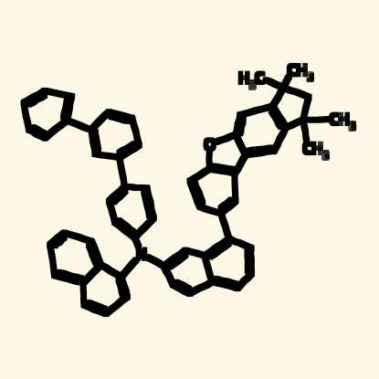 CC1(C)CC(C)(C)c2cc3c(cc21)oc1ccc(-c2cccc4ccc(N(c5ccc(-c6cccc(-c7ccccc7)c6)cc5)c5cccc6ccccc56)cc24)cc13